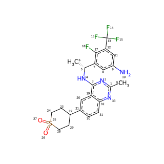 Cc1nc(N[C@H](C)c2cc(N)cc(C(F)(F)F)c2F)c2cc(C3CCS(=O)(=O)CC3)ccc2n1